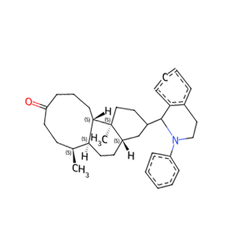 C[C@H]1CCC(=O)CCC[C@H]2[C@H]1CC[C@H]1CC(C3c4ccccc4CCN3c3ccccc3)CC[C@@]12C